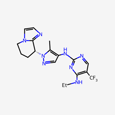 CCNc1nc(Nc2cnn([C@@H]3CCCn4ccnc43)c2C)ncc1C(F)(F)F